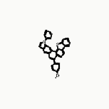 COc1ccc(-c2cc3cc4ccn(-c5ccccc5)c4cc3c3c2ccc2c4ccccc4sc23)cc1